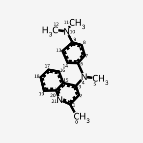 Cc1cc(N(C)c2ccc(N(C)C)cc2)c2ccccc2n1